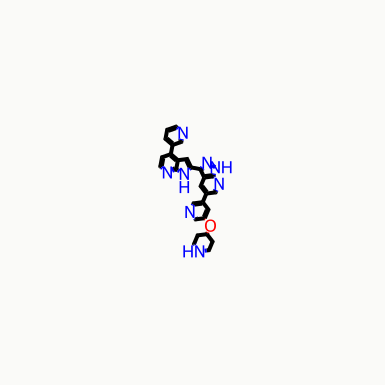 c1cncc(-c2ccnc3[nH]c(-c4n[nH]c5ncc(-c6cncc(OC7CCNCC7)c6)cc45)cc23)c1